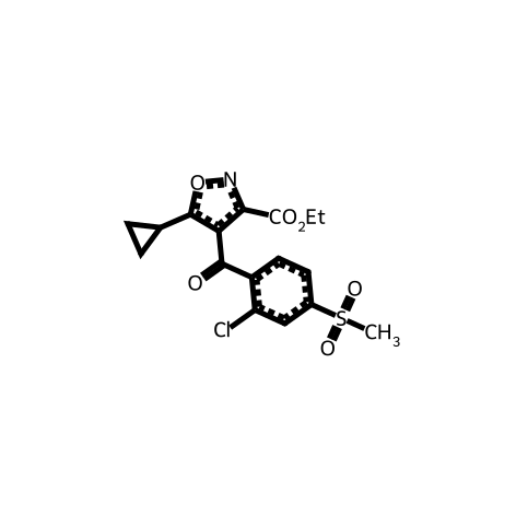 CCOC(=O)c1noc(C2CC2)c1C(=O)c1ccc(S(C)(=O)=O)cc1Cl